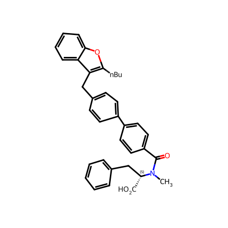 CCCCc1oc2ccccc2c1Cc1ccc(-c2ccc(C(=O)N(C)[C@@H](Cc3ccccc3)C(=O)O)cc2)cc1